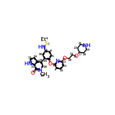 CCSNc1ccc(Oc2cccc(OCCOC3CCNCC3)n2)c(-c2cn(C)c(=O)c3[nH]ccc23)c1